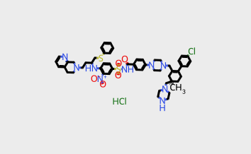 C[C@@]1(CN2CCNCC2)CCC(c2ccc(Cl)cc2)=C(CN2CCN(c3ccc(C(=O)NS(=O)(=O)c4ccc(NC(CCN5CCc6cccnc6C5)CSc5ccccc5)c([N+](=O)[O-])c4)cc3)CC2)C1.Cl